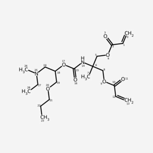 C=CC(=O)OCC(C)(COC(=O)C=C)NC(=O)OC(COCCC)CN(C)CC